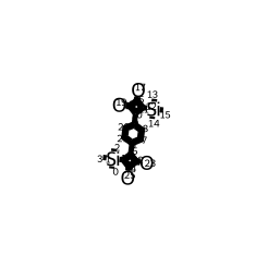 C[Si](C)(C)c1c(-c2ccc(-c3c([Si](C)(C)C)c(=O)c3=O)cc2)c(=O)c1=O